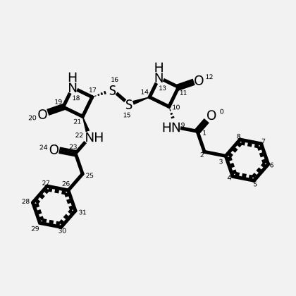 O=C(Cc1ccccc1)N[C@H]1C(=O)N[C@@H]1SS[C@H]1NC(=O)[C@@H]1NC(=O)Cc1ccccc1